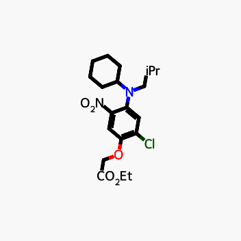 CCOC(=O)COc1cc([N+](=O)[O-])c(N(CC(C)C)C2CCCCC2)cc1Cl